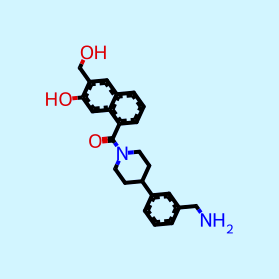 NCc1cccc(C2CCN(C(=O)c3cccc4cc(CO)c(O)cc34)CC2)c1